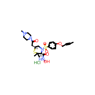 CC#CCOc1ccc(S(=O)(=O)N2C[C@H](CC(=O)N3CCN(C)CC3)SC(C)(C)[C@@H]2C(=O)NO)cc1.Cl